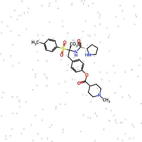 CCOC(=O)[C@](Cc1ccc(OC(=O)C2CCN(C)CC2)cc1)(NC(=O)[C@@H]1CCCN1)S(=O)(=O)c1ccc(C)cc1